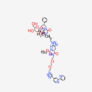 CC(C)(C)OC(=O)N[C@@H](Cc1cn(CCCC[C@@H](C(=O)NCC(CO[C@@H]2O[C@H](CO)[C@@H](O)C[C@H]2O)c2ccccc2)[N+](C)(C)C)nn1)C(=O)NCCOCCOCCn1cc(-c2ccnc(-c3ccccn3)c2)nn1